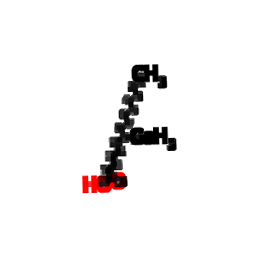 CCCCCCCCCCCCCCCC(=O)O.[GaH3]